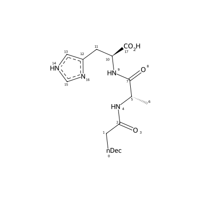 CCCCCCCCCCCC(=O)N[C@@H](C)C(=O)N[C@@H](Cc1c[nH]cn1)C(=O)O